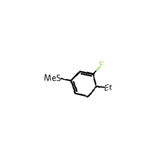 CCC1CC=C(SC)C=C1F